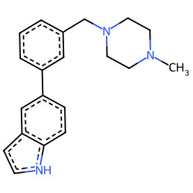 CN1CCN(Cc2cccc(-c3ccc4[nH]ccc4c3)c2)CC1